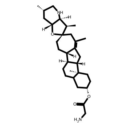 CC1=C2C[C@H]3[C@@H](CCC4C[C@@H](OC(=O)CN)CC[C@@]43C)[C@@H]2CC[C@@]2(C1)O[C@@H]1C[C@H](C)CN[C@H]1[C@H]2C